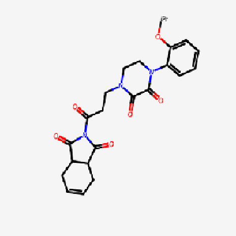 CC(C)Oc1ccccc1N1CCN(CCC(=O)N2C(=O)C3CC=CCC3C2=O)C(=O)C1=O